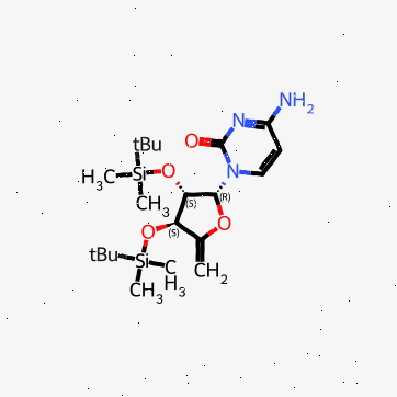 C=C1O[C@@H](n2ccc(N)nc2=O)[C@@H](O[Si](C)(C)C(C)(C)C)[C@@H]1O[Si](C)(C)C(C)(C)C